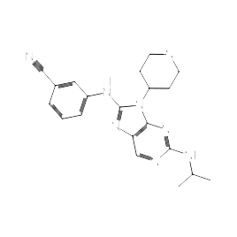 CC(C)Nc1ncc2nc(Nc3cccc(C#N)c3)n(C3CCNCC3)c2n1